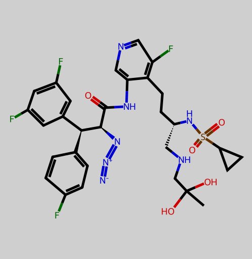 CC(O)(O)CNC[C@H](CCc1c(F)cncc1NC(=O)[C@@H](N=[N+]=[N-])[C@@H](c1ccc(F)cc1)c1cc(F)cc(F)c1)NS(=O)(=O)C1CC1